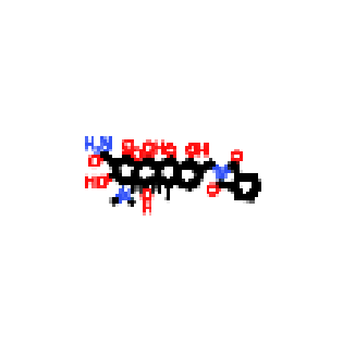 C[C@@H]1c2ccc(CN3C(=O)c4ccccc4C3=O)c(O)c2C(=O)C2=C(O)[C@]3(O)C(=O)C(C(N)=O)=C(O)[C@@H](N(C)C)[C@H]3[C@@H](O)[C@H]21